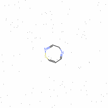 C1=CSN=CCN=C1